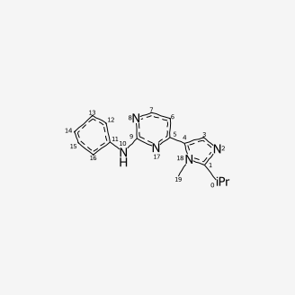 CC(C)c1ncc(-c2ccnc(Nc3ccccc3)n2)n1C